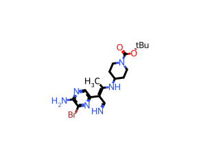 C/C(NC1CCN(C(=O)OC(C)(C)C)CC1)=C(/C=N)c1cnc(N)c(Br)n1